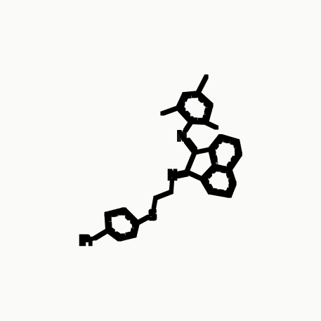 Cc1cc(C)c(/N=C2/C(=N/CCSc3ccc(C(C)C)cc3)c3cccc4cccc2c34)c(C)c1